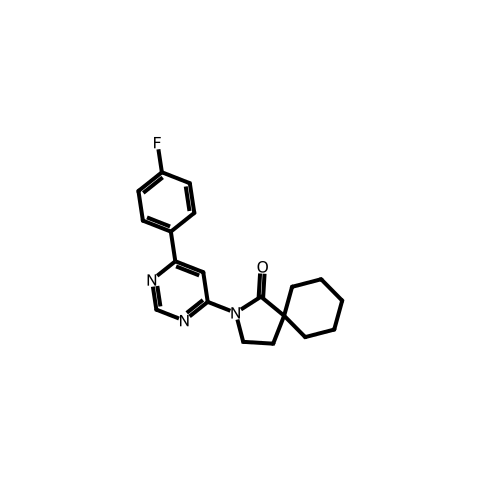 O=C1N(c2cc(-c3ccc(F)cc3)ncn2)CCC12CCCCC2